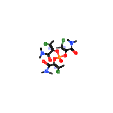 C/C(Cl)=C(\OP(=O)(O/C(C(=O)N(C)C)=C(\C)Cl)O/C(C(=O)N(C)C)=C(\C)Cl)C(=O)N(C)C